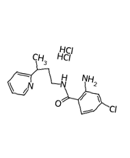 CC(CCNC(=O)c1ccc(Cl)cc1N)c1ccccn1.Cl.Cl